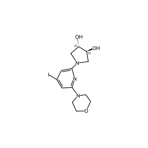 O[C@H]1CN(c2cc(I)cc(N3CCOCC3)n2)C[C@@H]1O